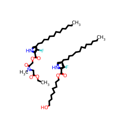 CCCCCCCCCCCCCc1c[nH]c(C(=O)OCC(=O)N(C)CC(=O)OCC)c1F.CCCCCCCCCCCCCc1c[nH]c(C(=O)OCCCCCCCCCO)c1F